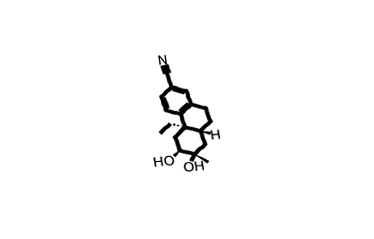 CC[C@@]12C[C@H](O)[C@@](C)(O)C[C@H]1CCc1cc(C#N)ccc12